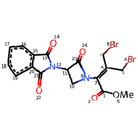 COC(=O)C(=C(CBr)CBr)N1CC(N2C(=O)c3ccccc3C2=O)C1=O